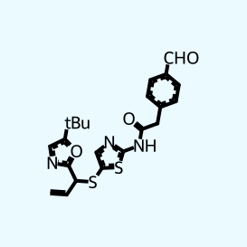 C=CC(Sc1cnc(NC(=O)Cc2ccc(C=O)cc2)s1)c1ncc(C(C)(C)C)o1